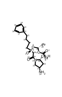 CCC(=O)O[C@H](OP(=O)(CCCCc1ccccc1)CC(=O)N1C[C@H](N)C[C@H]1C(=O)O)C(C)C